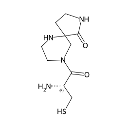 N[C@@H](CS)C(=O)N1CCNC2(CCNC2=O)C1